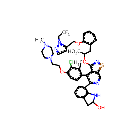 Cc1c(-c2c(-c3cccc4c3NC(O)C4)ncc3snc(OC(Cc4ccccc4OCc4ccnn4CC(F)(F)F)C(=O)O)c23)ccc(OCCN2CCN(C)CC2)c1Cl